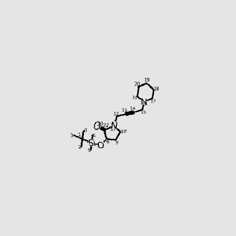 CC(C)(C)[Si](C)(C)O[C@@H]1CCN(CC#CCN2CCCCC2)C1=O